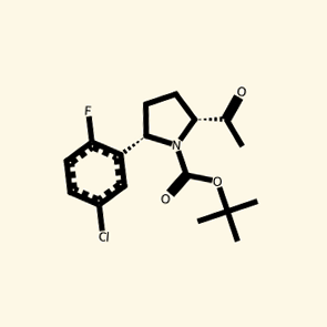 CC(=O)[C@H]1CC[C@@H](c2cc(Cl)ccc2F)N1C(=O)OC(C)(C)C